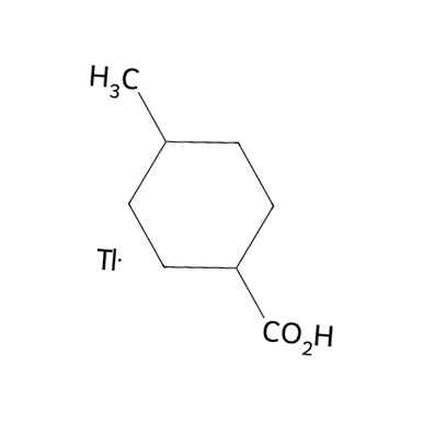 CC1CCC(C(=O)O)CC1.[Tl]